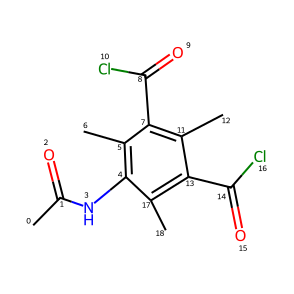 CC(=O)Nc1c(C)c(C(=O)Cl)c(C)c(C(=O)Cl)c1C